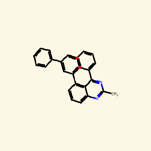 Cc1nc(-c2ccccc2)c2c(-c3cccc(-c4ccccc4)c3)cccc2n1